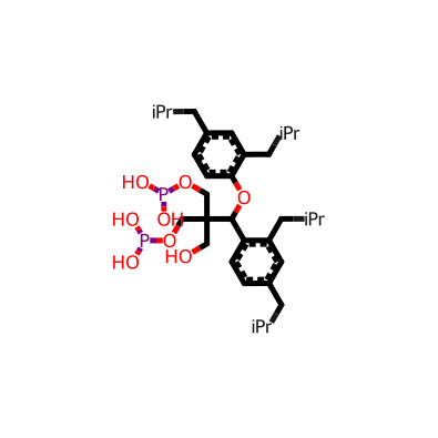 CC(C)Cc1ccc(OC(c2ccc(CC(C)C)cc2CC(C)C)C(CO)(COP(O)O)COP(O)O)c(CC(C)C)c1